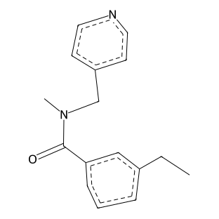 CCc1cccc(C(=O)N(C)Cc2ccncc2)c1